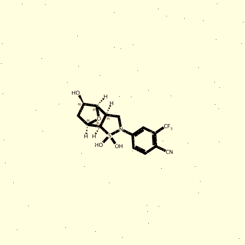 N#Cc1ccc(N2C[C@@H]3[C@H]4O[C@H](C[C@H]4O)[C@@H]3S2(O)O)cc1C(F)(F)F